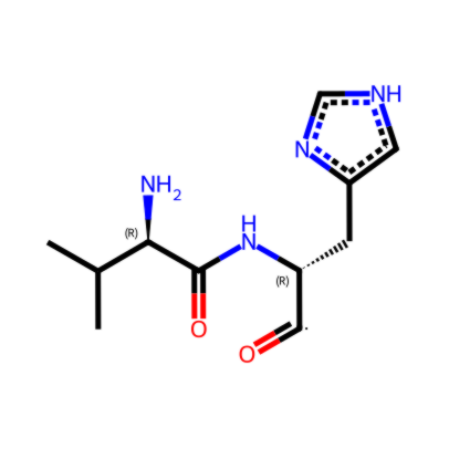 CC(C)[C@@H](N)C(=O)N[C@@H]([C]=O)Cc1c[nH]cn1